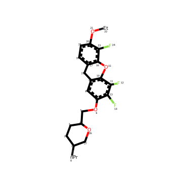 CCCC1CCC(COc2cc3c(c(F)c2F)Oc2c(ccc(OCC)c2F)C3)OC1